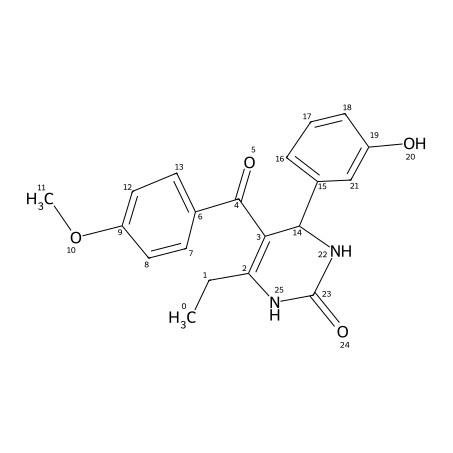 CCC1=C(C(=O)c2ccc(OC)cc2)C(c2cccc(O)c2)NC(=O)N1